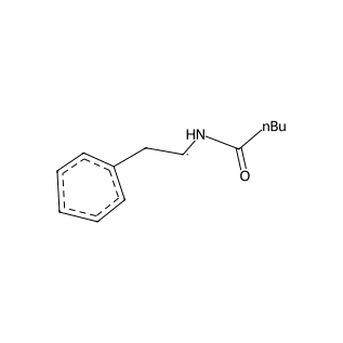 CCCCC(=O)N[CH]Cc1ccccc1